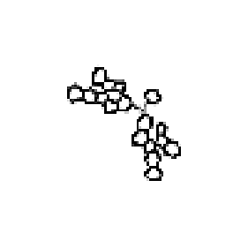 c1ccc(N(c2ccc3c4c(ccc3c2)-c2cc3ccccc3cc2C42c3ccccc3-c3ccccc32)c2ccc3c4c(ccc3c2)-c2cc3ccccc3cc2C42c3ccccc3-c3ccccc32)cc1